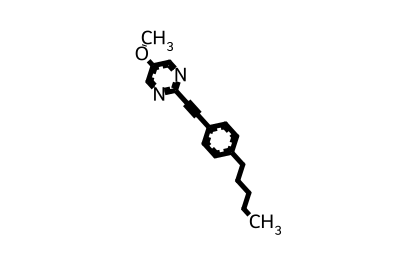 CCCCCc1ccc(C#Cc2ncc(OC)cn2)cc1